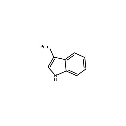 [CH2][CH]CC(C)c1c[nH]c2ccccc12